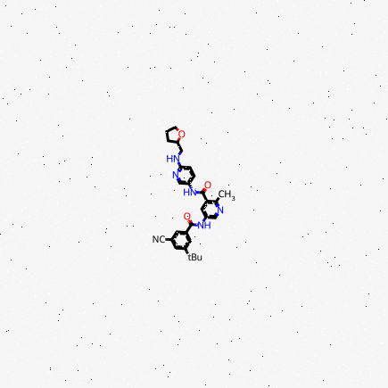 Cc1ncc(NC(=O)c2cc(C#N)cc(C(C)(C)C)c2)cc1C(=O)Nc1ccc(NCC2CCCO2)nc1